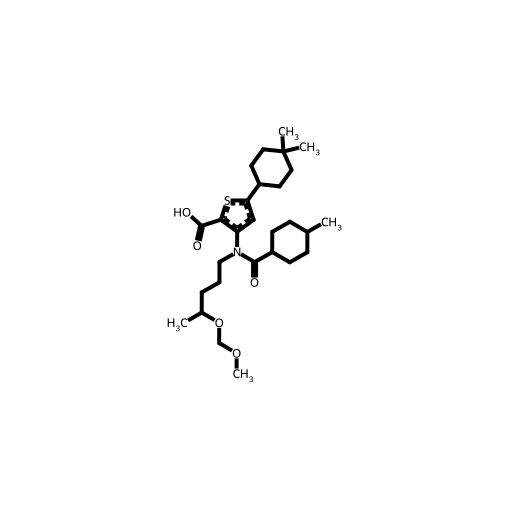 COCOC(C)CCCN(C(=O)C1CCC(C)CC1)c1cc(C2CCC(C)(C)CC2)sc1C(=O)O